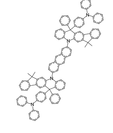 CC1(C)c2ccccc2-c2cc3c(cc21)N(c1ccc2cc4cc(N5c6ccccc6C(c6ccccc6)(c6ccc(N(c7ccccc7)c7ccccc7)cc6)c6cc7c(cc65)C(C)(C)c5ccccc5-7)ccc4cc2c1)c1ccccc1C3(c1ccccc1)c1ccc(N(c2ccccc2)c2ccccc2)cc1